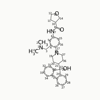 CN(C)Cc1cc(NC(=O)C2CCOC2)ccc1N1CCC(C(O)(c2ccccc2)c2ccccc2)CC1